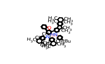 Cc1cc2c(cc1N1c3cc4c(cc3Bc3c1cc1c(oc5ccccc51)c3-c1cc3c(cc1Nc1ccc(C(C)(C)C)cc1)C(C)(C)c1cc5c(cc1-3)C(C)(C)CCC5(C)C)C(C)(C)CCC4(C)C)C(C)(C)CCC2(C)C